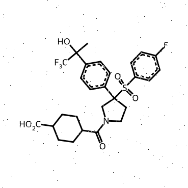 CC(O)(c1ccc(C2(S(=O)(=O)c3ccc(F)cc3)CCN(C(=O)C3CCC(C(=O)O)CC3)C2)cc1)C(F)(F)F